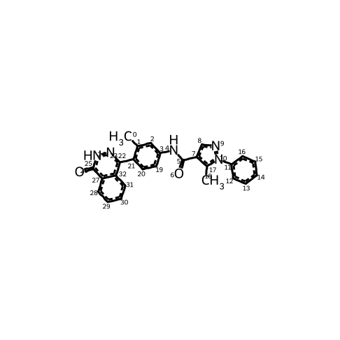 Cc1cc(NC(=O)c2cnn(-c3ccccc3)c2C)ccc1-c1n[nH]c(=O)c2ccccc12